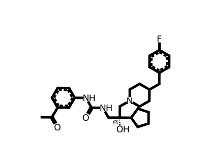 CC(=O)c1cccc(NC(=O)NC[C@@](O)(CN2CCC(Cc3ccc(F)cc3)CC2)C2CCCC2)c1